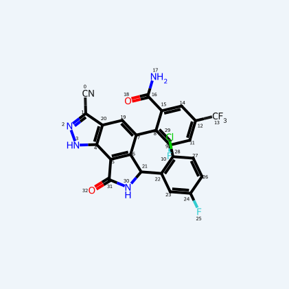 N#Cc1n[nH]c2c3c(c(-c4c(F)cc(C(F)(F)F)cc4C(N)=O)cc12)C(c1cc(F)ccc1Cl)NC3=O